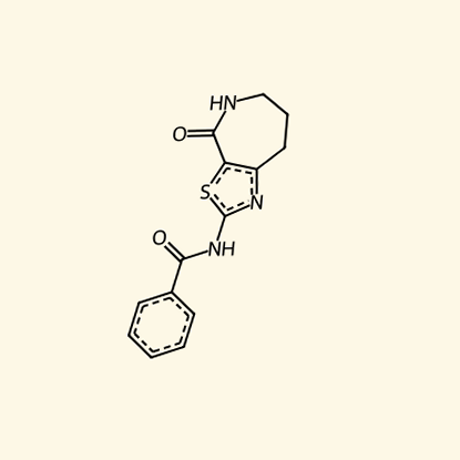 O=C(Nc1nc2c(s1)C(=O)NCCC2)c1ccccc1